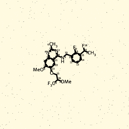 COc1cc2nc(C)nc(NCc3cccc(C(C)F)c3F)c2cc1OCC(OC)C(F)(F)F